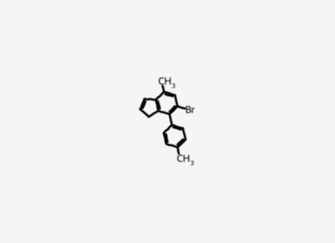 Cc1ccc(-c2c(Br)cc(C)c3c2CC=C3)cc1